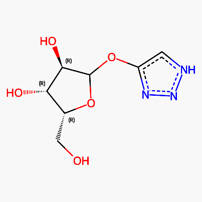 OC[C@H]1OC(Oc2c[nH]nn2)[C@H](O)[C@H]1O